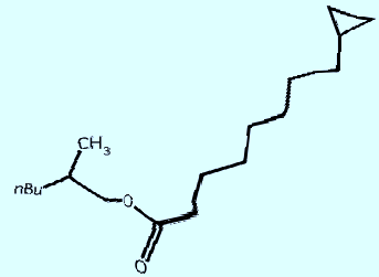 CCCCC(C)COC(=O)CCCCCCCC1CC1